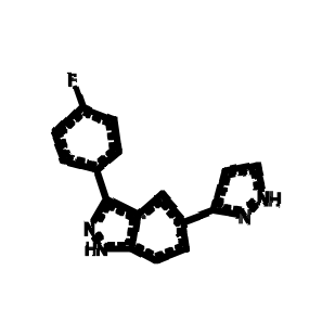 Fc1ccc(-c2n[nH]c3ccc(-c4cc[nH]n4)cc23)cc1